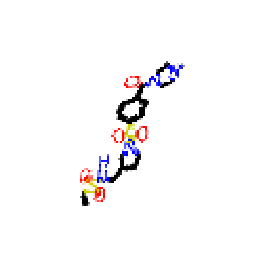 C=CS(=O)(=O)NCC1CCN(S(=O)(=O)c2ccc(C(=O)N3CCN(C)CC3)cc2)C1